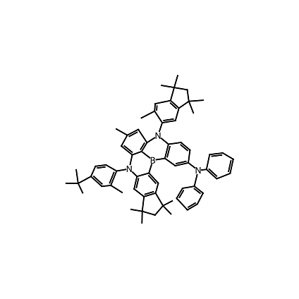 Cc1cc2c3c(c1)N(c1ccc(C(C)(C)C)cc1C)c1cc4c(cc1B3c1cc(N(c3ccccc3)c3ccccc3)ccc1N2c1cc2c(cc1C)C(C)(C)CC2(C)C)C(C)(C)CC4(C)C